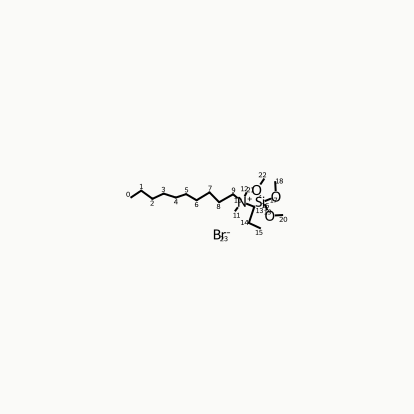 CCCCCCCCCC[N+](C)(C)C(CC)[Si](OC)(OC)OC.[Br-]